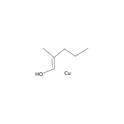 CCCC(C)=CO.[Cu]